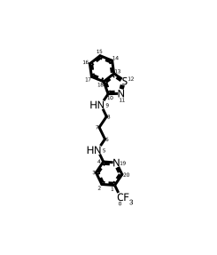 FC(F)(F)c1ccc(NCCCNc2nsc3ccccc23)nc1